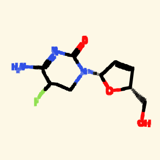 NC1=NC(=O)N([C@@H]2C=C[C@H](CO)O2)CC1F